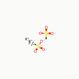 CS(=O)(=O)[O-].O=S(=O)([O-])C(F)(F)F.[K+].[K+]